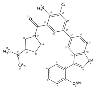 COc1ccccc1-c1c[nH]c2ncc(-c3cc(Cl)c(N)c(C(=O)N4CCC(N(C)C)C4)c3)cc12